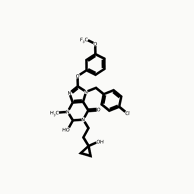 CN1c2nc(Oc3cccc(OC(F)(F)F)c3)n(Cc3ccc(Cl)cc3)c2C(=O)N(CCC2(O)CC2)C1O